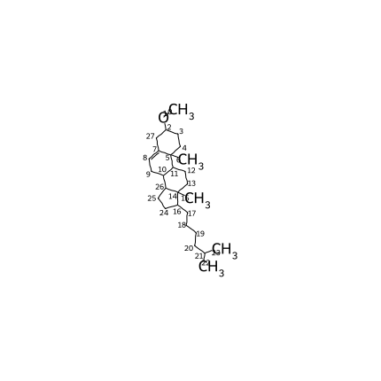 COC1CCC2(C)C(=CCC3C2CCC2(C)C(CCCCC(C)C)CCC32)C1